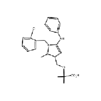 CN1C(COC(C)(C)C(=O)O)C=C(Nc2ccccc2)N1Cc1ccccc1Cl